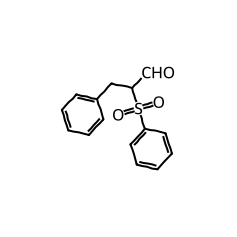 O=CC(Cc1ccccc1)S(=O)(=O)c1ccccc1